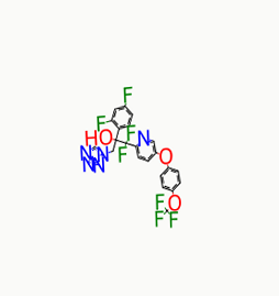 OC(Cn1cnnn1)(c1ccc(F)cc1F)C(F)(F)c1ccc(Oc2ccc(OC(F)(F)F)cc2)cn1